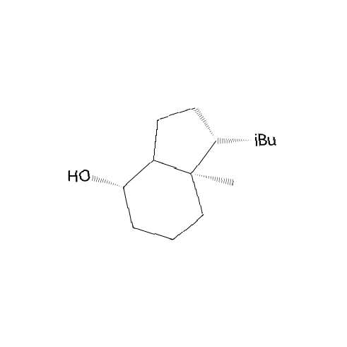 CC[C@@H](C)[C@H]1CCC2[C@@H](O)CCC[C@@]21C